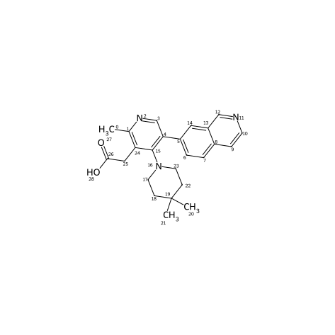 Cc1ncc(-c2ccc3ccncc3c2)c(N2CCC(C)(C)CC2)c1CC(=O)O